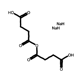 O=C(O)CCC(=O)OC(=O)CCC(=O)O.[NaH].[NaH]